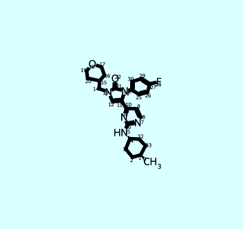 C[C@H]1CC[C@H](Nc2nccc(-c3cn(CC4CCOCC4)c(=O)n3-c3ccc(F)cc3)n2)CC1